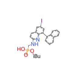 CCC(C)OP(=O)(O)CNc1ccc2cc(I)cc(-c3cccc4ccccc34)c2n1